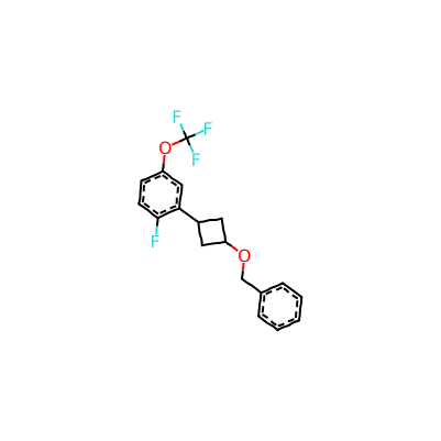 Fc1ccc(OC(F)(F)F)cc1C1CC(OCc2ccccc2)C1